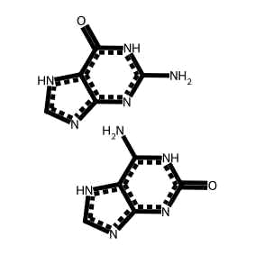 Nc1[nH]c(=O)nc2nc[nH]c12.Nc1nc2nc[nH]c2c(=O)[nH]1